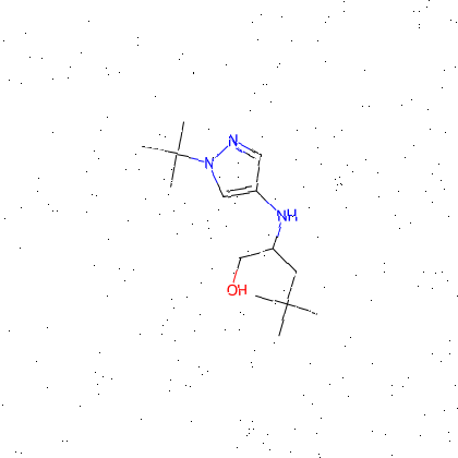 CC(C)(C)CC(CO)Nc1cnn(C(C)(C)C)c1